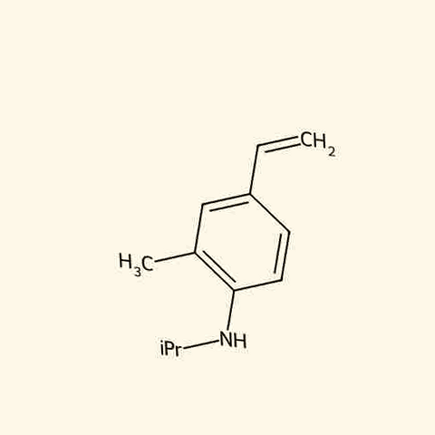 C=Cc1ccc(NC(C)C)c(C)c1